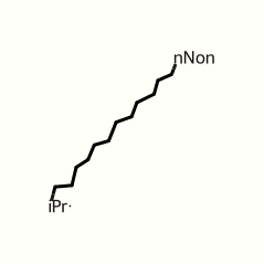 CCCCCCCCCCCCCCCCCCCCC[C](C)C